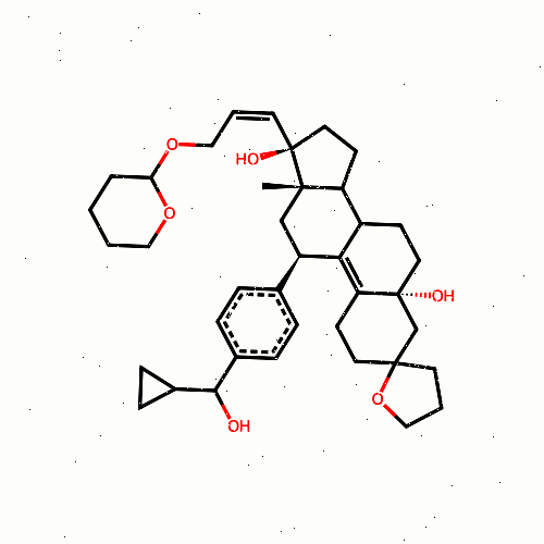 C[C@]12C[C@H](c3ccc(C(O)C4CC4)cc3)C3=C4CCC5(CCCO5)C[C@]4(O)CCC3C1CC[C@@]2(O)/C=C\COC1CCCCO1